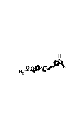 N#Cc1c[nH]c2ccc(CCCN3CCN(c4ccc5oc(OC(N)=O)cc5c4)CC3)cc12